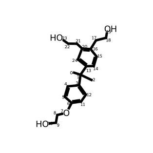 CC(C)(c1ccc(OCCO)cc1)c1ccc(CCO)c(CCO)c1